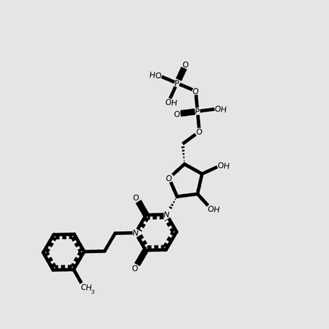 Cc1ccccc1CCn1c(=O)ccn([C@@H]2O[C@H](COP(=O)(O)OP(=O)(O)O)C(O)C2O)c1=O